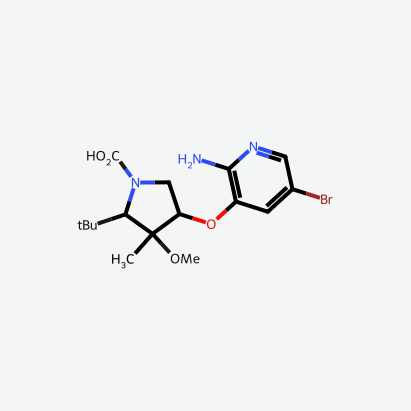 COC1(C)C(Oc2cc(Br)cnc2N)CN(C(=O)O)C1C(C)(C)C